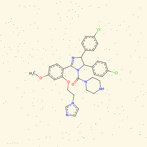 COc1ccc(C2=NC(c3ccc(Cl)cc3)C(c3ccc(Cl)cc3)N2C(=O)N2CCNCC2)c(OCCn2ccnc2)c1